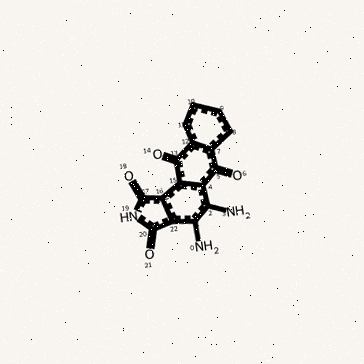 Nc1c(N)c2c(=O)c3ccccc3c(=O)c2c2c(=O)[nH]c(=O)c12